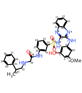 COc1cc(O)cc(Nc2nc3ccccc3nc2NS(=O)(=O)c2cccc(NC(=O)CNCC(C)c3ccccc3)c2)c1